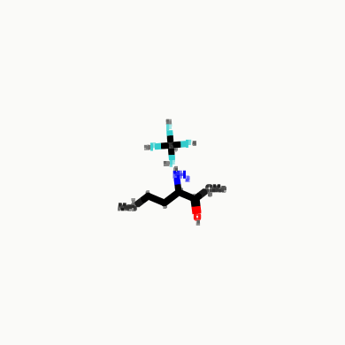 COC(=O)C(N)CCSC.F[B-](F)(F)F